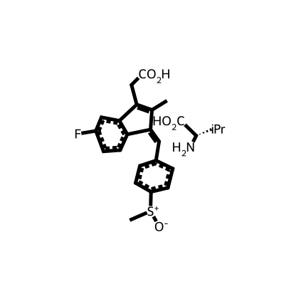 CC(C)[C@H](N)C(=O)O.CC1=C(CC(=O)O)c2cc(F)ccc2/C1=C\c1ccc([S+](C)[O-])cc1